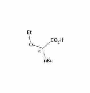 CCCC[C@H](OCC)C(=O)O